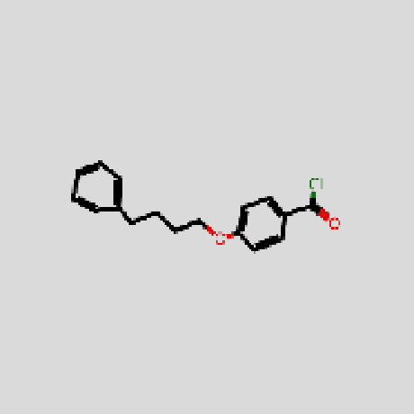 O=C(Cl)c1ccc(OCCCCc2ccccc2)cc1